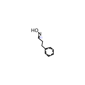 O/N=C/CCc1ccccc1